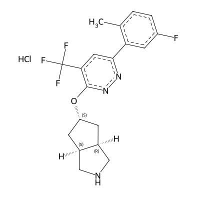 Cc1ccc(F)cc1-c1cc(C(F)(F)F)c(O[C@@H]2C[C@H]3CNC[C@H]3C2)nn1.Cl